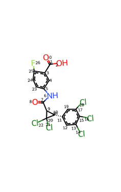 O=C(O)c1cc(NC(=O)C2[C@H](c3cc(Cl)c(Cl)c(Cl)c3)C2(Cl)Cl)ccc1F